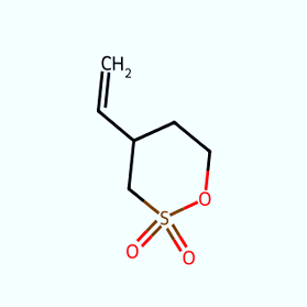 C=CC1CCOS(=O)(=O)C1